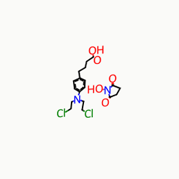 O=C(O)CCCc1ccc(N(CCCl)CCCl)cc1.O=C1CCC(=O)N1O